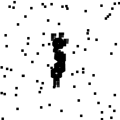 Fc1cc(Cn2cnc(-c3ccc4c(c3)CCNC4)c2)cc(F)c1F